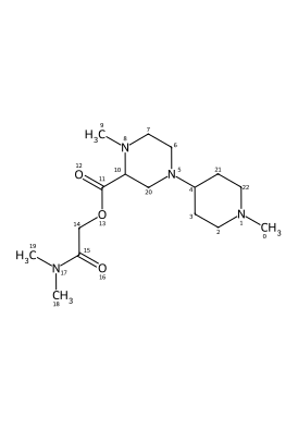 CN1CCC(N2CCN(C)C(C(=O)OCC(=O)N(C)C)C2)CC1